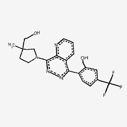 CC1(CO)CCN(c2nnc(-c3ccc(C(F)(F)F)cc3O)c3cccnc23)C1